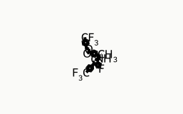 C[C@H](NC(=O)[C@H]1C[C@H](F)CN1Cc1ccc(C(F)(F)F)cc1)c1ccc(C(=O)OCc2ccc(C(F)(F)F)cc2)cc1